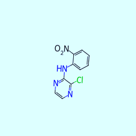 O=[N+]([O-])c1ccccc1Nc1nccnc1Cl